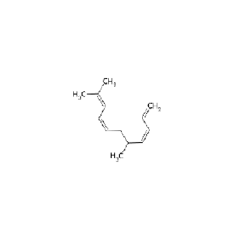 C=C/C=C\C(C)C/C=C\C=C(C)C